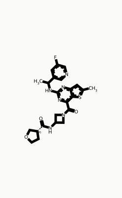 Cc1cc2nc(NC(C)c3cncc(F)c3)nc(C(=O)N3CC(NC(=O)[C@@H]4CCOC4)C3)c2s1